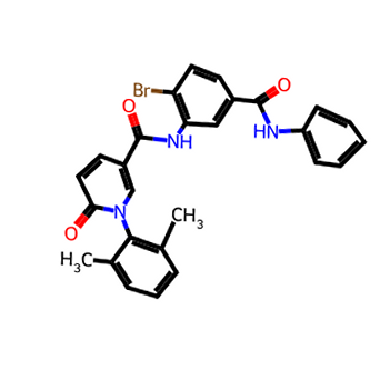 Cc1cccc(C)c1-n1cc(C(=O)Nc2cc(C(=O)Nc3ccccc3)ccc2Br)ccc1=O